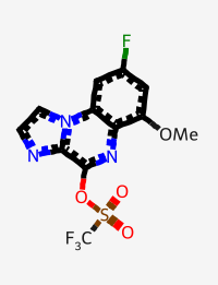 COc1cc(F)cc2c1nc(OS(=O)(=O)C(F)(F)F)c1nccn12